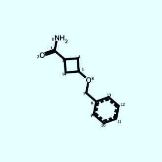 NC(=O)C1CC(OCc2ccccc2)C1